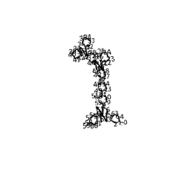 Cc1ccc(-c2cc(-c3ccc(-c4ccc(-c5ccc(-n6c7ccccc7c7cc(N(c8ccccc8)c8ccccc8)ccc76)cc5)cc4)c(C)c3)nc(-c3ccc(C)cc3)n2)cc1